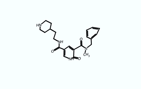 CN(Cc1ccccc1)C(=O)c1cc(C(=O)NCCC2CCNCC2)c[nH]c1=O